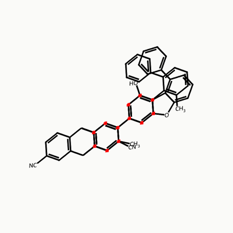 Cc1cc2c(cc1-c1ccc3c(c1)oc1cccc(-c4ccccc4)c13)C1c3ccc(C#N)cc3C2c2cc(C#N)c(-c3ccc(-c4c(C)cccc4-c4ccccc4)c(O)c3)cc21